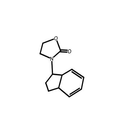 O=C1OCCN1C1CCC2C=CC=CC21